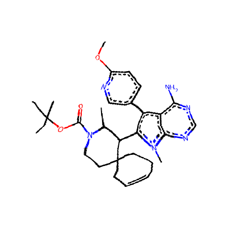 COc1ccc(-c2c(C3C(C)N(C(=O)OC(C)(C)C)CCC34CC=CCC4)n(C)c3ncnc(N)c23)cn1